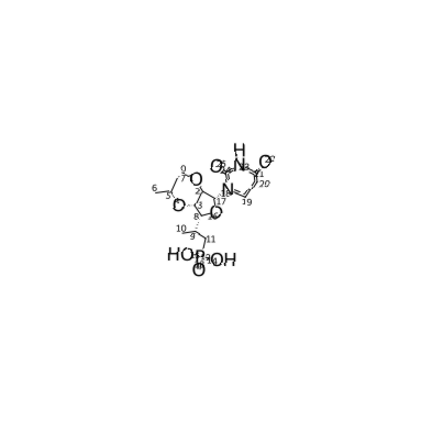 COC1[C@@H](OC(C)C)[C@@H](C(C)CP(=O)(O)O)O[C@H]1n1ccc(=O)[nH]c1=O